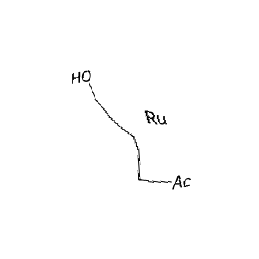 CC(=O)CCCO.[Ru]